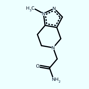 Cn1ncc2c1CCN(CC(N)=O)C2